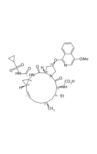 CC[C@@H]1C[C@@H](C)CC/C=C\[C@@H]2C[C@@]2(C(=O)NS(=O)(=O)C2CC2)NC(=O)[C@@H]2C[C@@H](Oc3ncc(OC)c4ccccc34)CN2C(=O)[C@H]1NC(=O)O